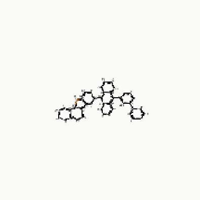 c1ccc(-c2cccc(-c3c4ccccc4c(-c4ccc5sc6c7ccccc7ccc6c5c4)c4ccccc34)c2)cc1